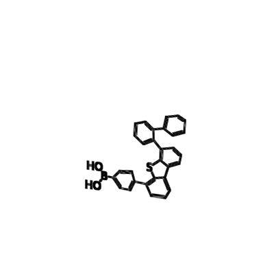 OB(O)c1ccc(-c2cccc3c2sc2c(-c4ccccc4-c4ccccc4)cccc23)cc1